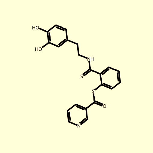 O=C(Sc1ccccc1C(=S)NCCc1ccc(O)c(O)c1)c1cccnc1